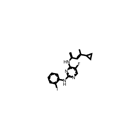 C=C(/C=C(\C)C1CC1)Nc1nc(Nc2ccccc2I)ncc1F